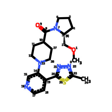 COC[C@H]1CCCN1C(=O)C1CCN(c2cnccc2-c2nnc(C)s2)CC1